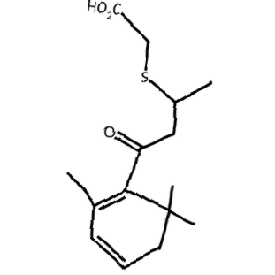 CC1=C(C(=O)CC(C)SCC(=O)O)C(C)(C)CC=C1